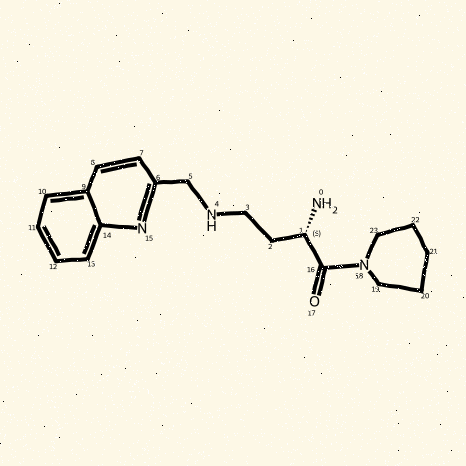 N[C@@H](CCNCc1ccc2ccccc2n1)C(=O)N1CCCCC1